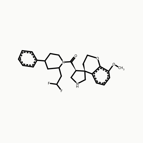 COc1cccc2c1OCC[C@]21CNC[C@H]1C(=O)N1CCC(c2ccccc2)CC1CC(F)F